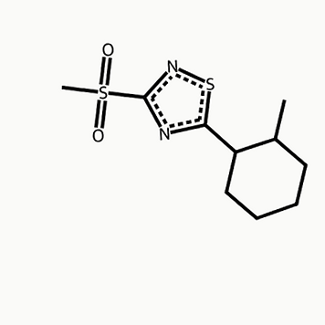 CC1CCCCC1c1nc(S(C)(=O)=O)ns1